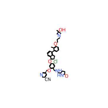 Cc1c(OCCCN2CC(C)(O)C2)cccc1-c1cccc2c1CC[C@@H]2Oc1cc(OCc2cncc(C#N)c2)c(CNCC2CCC(=O)N2)cc1Cl